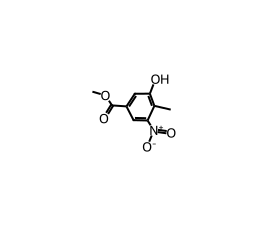 COC(=O)c1cc(O)c(C)c([N+](=O)[O-])c1